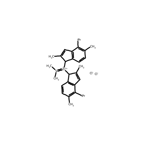 CC1=Cc2c(ccc(C)c2C(C)C)[CH]1[Zr+2]([CH]1C(C)=Cc2c1ccc(C)c2C(C)C)=[Si](C)C.[Cl-].[Cl-]